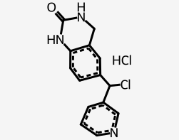 Cl.O=C1NCc2cc(C(Cl)c3cccnc3)ccc2N1